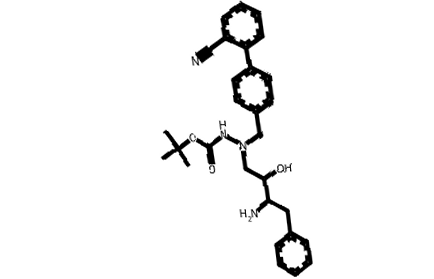 CC(C)(C)OC(=O)NN(Cc1ccc(-c2ccccc2C#N)cc1)CC(O)C(N)Cc1ccccc1